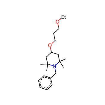 CCOCCCOC1CC(C)(C)N(Cc2ccccc2)C(C)(C)C1